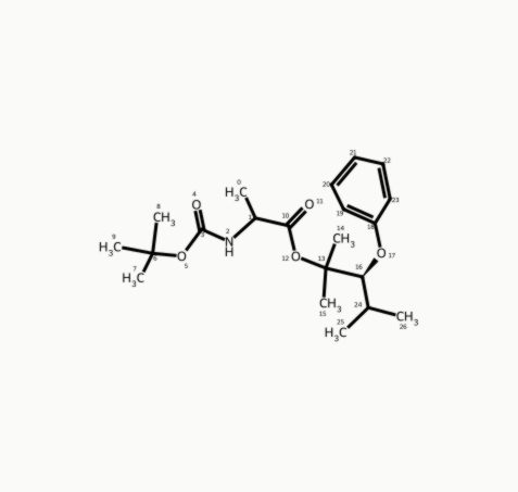 CC(NC(=O)OC(C)(C)C)C(=O)OC(C)(C)[C@@H](Oc1ccccc1)C(C)C